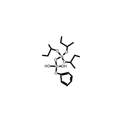 CCC(C)O[Si](OC(C)CC)(OC(C)CC)[O][Zr]([OH])([OH])[O]c1ccccc1